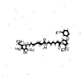 CCC1CCCC(O[C@@H]2C[C@@H](CO)N(C(=O)CCCCCNC(=O)CCCCCOC3OC(CO)C(O)C(O)C3NC(C)=O)C2)C1